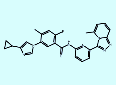 Cc1cc(F)c(C(=O)Nc2cccc(-c3nnc4cccc(C)n34)n2)cc1-n1cnc(C2CC2)c1